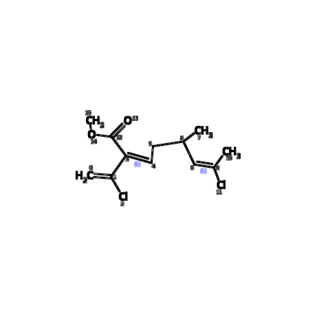 C=C(Cl)/C(=C/CC(C)/C=C(\C)Cl)C(=O)OC